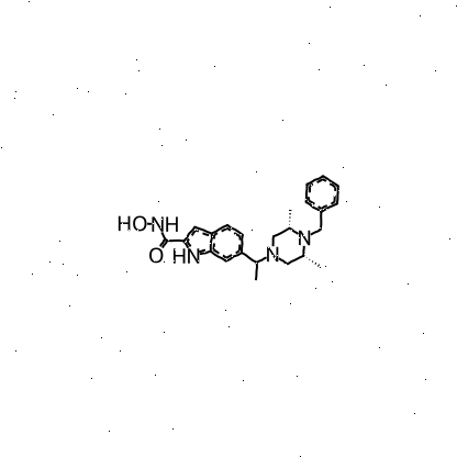 CC(c1ccc2cc(C(=O)NO)[nH]c2c1)N1C[C@@H](C)N(Cc2ccccc2)[C@@H](C)C1